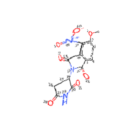 COc1ccc2c(c1[N+](=O)[O-])C(=O)N(C1CCC(=O)NC1=O)C2=O